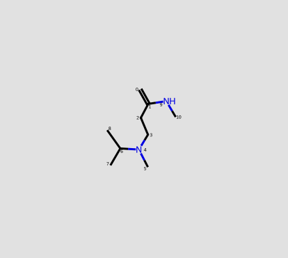 C=C(CCN(C)C(C)C)NC